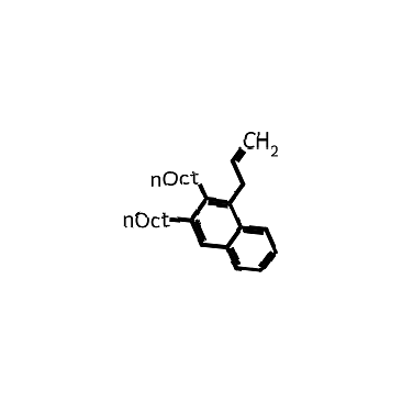 C=CCc1c(CCCCCCCC)c(CCCCCCCC)cc2ccccc12